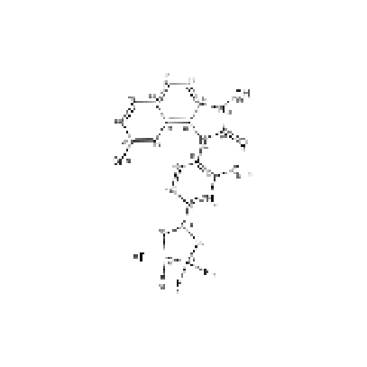 Cc1nc(N2CC(F)(F)C(F)(F)C2)ccc1-n1c(=O)n(C)c2cnc3ccc(Br)cc3c21